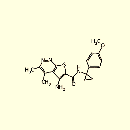 COc1ccc(C2(NC(=O)c3sc4nnc(C)c(C)c4c3N)CC2)cc1